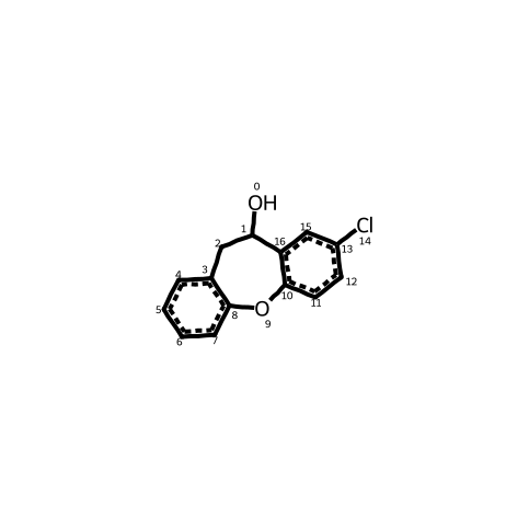 OC1Cc2ccccc2Oc2ccc(Cl)cc21